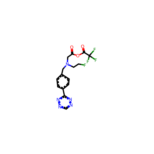 O=C(CN(CCF)Cc1ccc(-c2nncnn2)cc1)OC(=O)C(F)(F)F